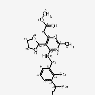 COC(=O)Cc1nc(C)nc(NCc2cccc(C(F)F)c2F)c1C1OCCO1